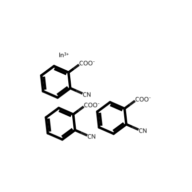 N#Cc1ccccc1C(=O)[O-].N#Cc1ccccc1C(=O)[O-].N#Cc1ccccc1C(=O)[O-].[In+3]